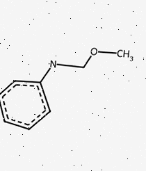 COC[N]c1ccccc1